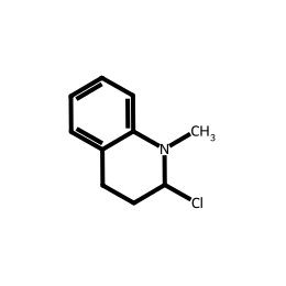 CN1c2ccccc2CCC1Cl